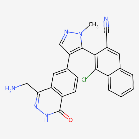 Cn1ncc(-c2ccc3c(=O)[nH]nc(CN)c3c2)c1-c1c(C#N)cc2ccccc2c1Cl